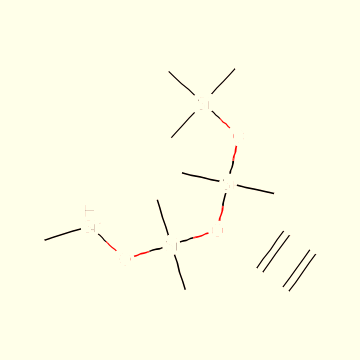 C=C.C=C.C[SiH2]O[Si](C)(C)O[Si](C)(C)O[Si](C)(C)C